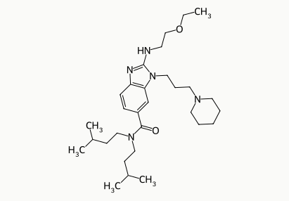 CCOCCNc1nc2ccc(C(=O)N(CCC(C)C)CCC(C)C)cc2n1CCCN1CCCCC1